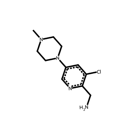 CN1CCN(c2cnc(CN)c(Cl)c2)CC1